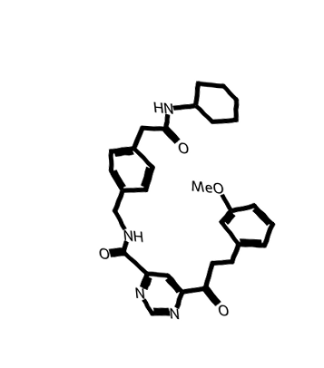 COc1cccc(CCC(=O)c2cc(C(=O)NCc3ccc(CC(=O)NC4CCCCC4)cc3)ncn2)c1